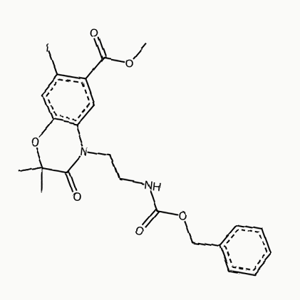 COC(=O)c1cc2c(cc1I)OC(C)(C)C(=O)N2CCNC(=O)OCc1ccccc1